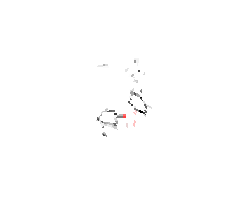 CC(CCCc1cccc(Oc2cccc(C(F)(F)F)c2)c1)S(=O)(=O)O